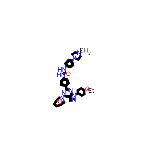 CCOC1CCC(n2ncc3c(N4CC5CCC(C4)O5)nc(-c4ccc(NC(=O)Nc5ccc(N6CCN(C)CC6)cc5)cc4)nc32)CC1